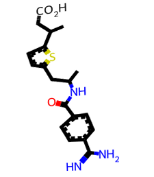 CC(Cc1ccc(C(C)CC(=O)O)s1)NC(=O)c1ccc(C(=N)N)cc1